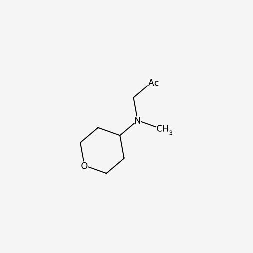 CC(=O)CN(C)C1CCOCC1